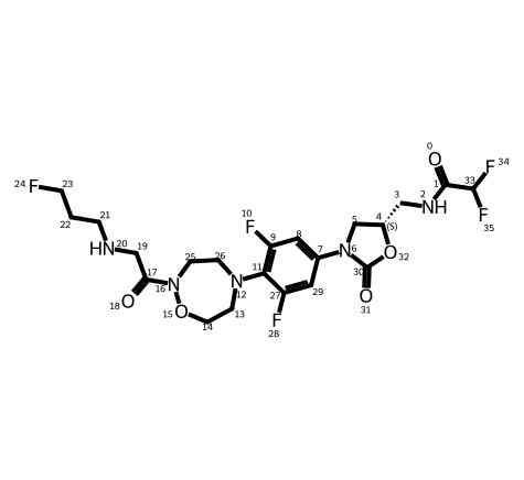 O=C(NC[C@H]1CN(c2cc(F)c(N3CCON(C(=O)CNCCCF)CC3)c(F)c2)C(=O)O1)C(F)F